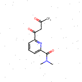 CN(C)C(=O)c1cccc(C(=O)CC(=O)C(F)(F)F)n1